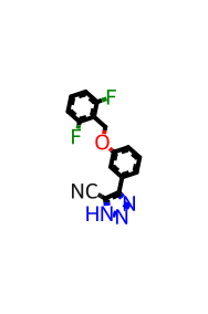 N#Cc1[nH]nnc1-c1cccc(OCc2c(F)cccc2F)c1